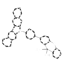 CC1(C)c2ccccc2Oc2ccc(-c3ccc(-n4c5cc6ccccc6cc5c5cc6ccccc6cc54)cc3)cc21